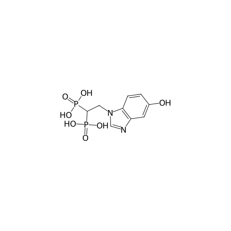 O=P(O)(O)C(Cn1cnc2cc(O)ccc21)P(=O)(O)O